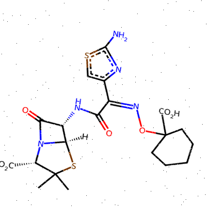 CC1(C)S[C@@H]2[C@@H](NC(=O)/C(=N\OC3(C(=O)O)CCCCC3)c3csc(N)n3)C(=O)N2[C@H]1C(=O)O